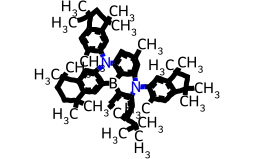 Cc1cc2c3c(c1)N(c1cc4c(cc1C)C(C)(C)CC4(C)C)c1cc4c(cc1B3c1ccc(C(C)(C)C)cc1N2c1cc2c(cc1C)C(C)(C)CC2(C)C)C(C)(C)CCC4(C)C